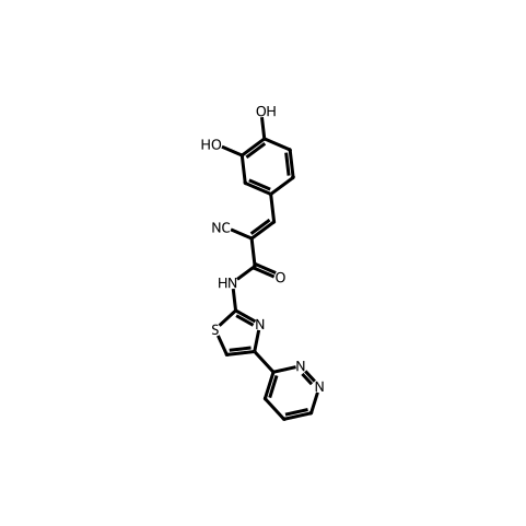 N#C/C(=C\c1ccc(O)c(O)c1)C(=O)Nc1nc(-c2cccnn2)cs1